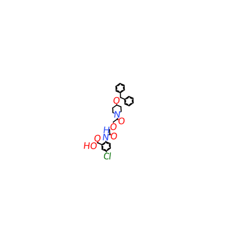 O=C(COCC(=O)N1CCC(OC(c2ccccc2)c2ccccc2)CC1)Nc1ccc(Cl)cc1C(=O)O